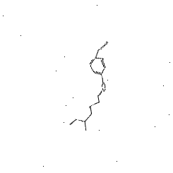 C=Cc1ccc(OCCCCC(C)CC)cc1